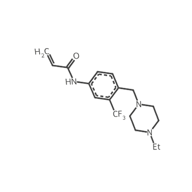 C=CC(=O)Nc1ccc(CN2CCN(CC)CC2)c(C(F)(F)F)c1